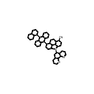 N#Cc1ccc2c3c1ccc1c(-c4c5ccccc5c(-c5cccc6ccccc56)c5ccccc45)ccc(c13)n2-c1cc2cccnc2c2ncccc12